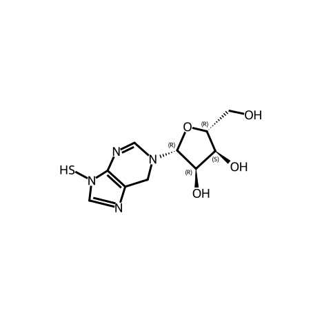 OC[C@H]1O[C@@H](N2C=Nc3c(ncn3S)C2)[C@H](O)[C@@H]1O